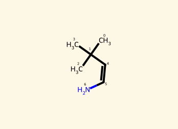 CC(C)(C)/C=C\N